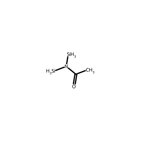 CC(=O)N([SiH3])[SiH3]